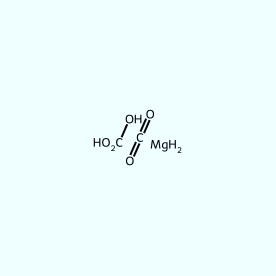 O=C(O)O.O=C=O.[MgH2]